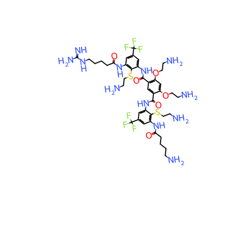 N=C(N)NCCCCC(=O)Nc1cc(C(F)(F)F)cc(NC(=O)c2cc(C(=O)Nc3cc(C(F)(F)F)cc(NC(=O)CCCCN)c3SCCN)c(OCCN)cc2OCCN)c1SCCN